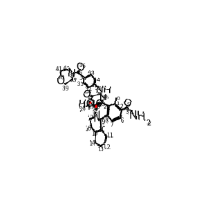 Cc1c(C(N)=O)ccc(C2C3CCCCC3CCN2C(=O)O)c1-c1cn(C)c(=O)c(Nc2ccc(C(=O)N3CCOCC3)cc2)n1